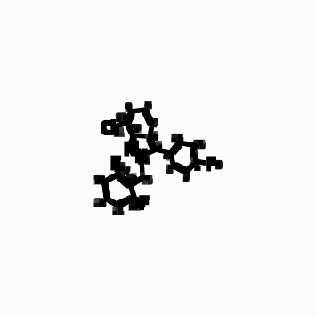 Fc1ccc(-c2c3cccc(Cl)c3nn2Cc2c(F)cccc2F)cc1